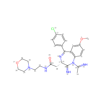 COc1ccc2c(c1)C(c1ccc(Cl)cc1)=N[C@@H](CC(=O)NCCN1CCOCC1)C(=N)N2C(C)=N